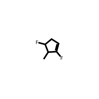 CC1C(F)=CCC1F